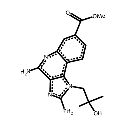 COC(=O)c1ccc2c(c1)nc(N)c1nc(P)n(CC(C)(C)O)c12